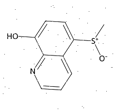 C[S+]([O-])c1ccc(O)c2ncccc12